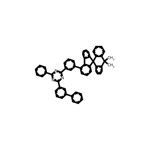 CC1(C)c2ccccc2C2(c3ccccc3-c3c(-c4cccc(-c5nc(-c6ccccc6)nc(-c6cccc(-c7ccccc7)c6)n5)c4)cccc32)c2ccccc21